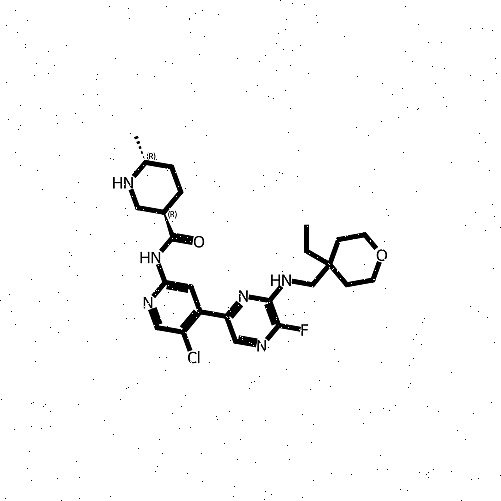 CCC1(CNc2nc(-c3cc(NC(=O)[C@@H]4CC[C@@H](C)NC4)ncc3Cl)cnc2F)CCOCC1